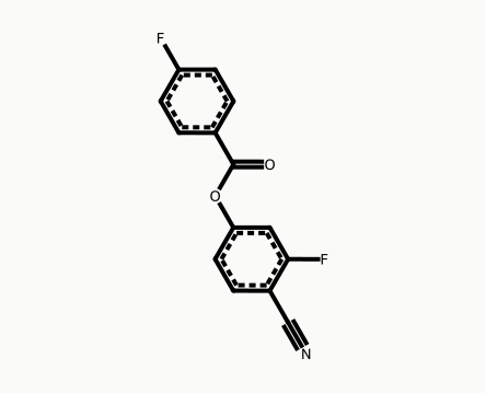 N#Cc1ccc(OC(=O)c2ccc(F)cc2)cc1F